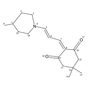 CC1CCN(/C=C/C=C2C(=O)CC(C)(C)CC2=O)CC1